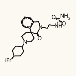 CC(C)C1CCC(N2CCC3(CC2)C(=O)N(CCNS(N)(=O)=O)Cc2ccccc23)CC1